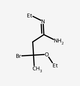 CC/N=C(/N)CC(C)(Br)OCC